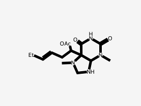 CC/C=C/CC(OC(C)=O)C12C(=O)NC(=O)N(C)C1NCN2C